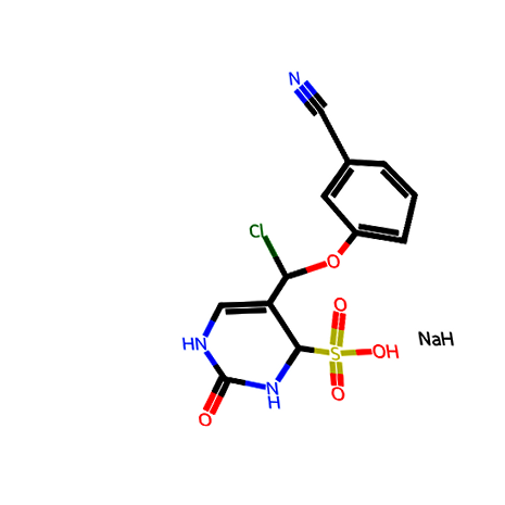 N#Cc1cccc(OC(Cl)C2=CNC(=O)NC2S(=O)(=O)O)c1.[NaH]